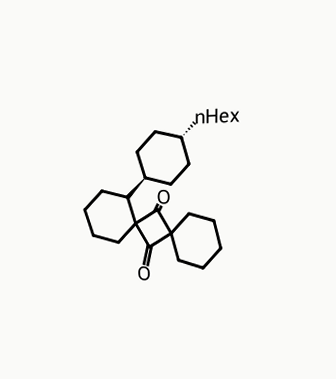 CCCCCC[C@H]1CC[C@H](C2CCCCC23C(=O)C2(CCCCC2)C3=O)CC1